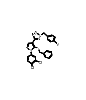 Clc1ccc(-n2ncc(-c3nnn(Cc4ccc(Br)cc4)n3)c2SCc2ccccc2)cc1Cl